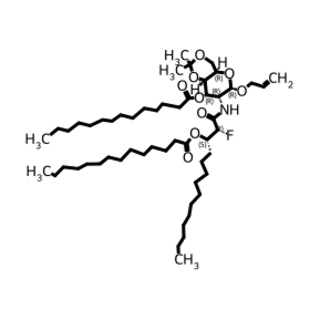 C=CCO[C@@H]1O[C@@H]2COC(C)(C)O[C@H]2[C@H](OC(=O)CCCCCCCCCCCCC)[C@H]1NC(=O)[C@H](F)[C@H](CCCCCCCCCCC)OC(=O)CCCCCCCCCCCCC